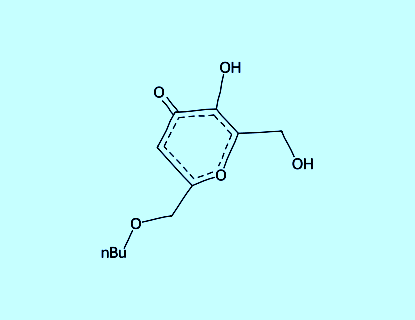 CCCCOCc1cc(=O)c(O)c(CO)o1